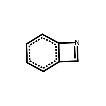 C1=Nc2ccccc21